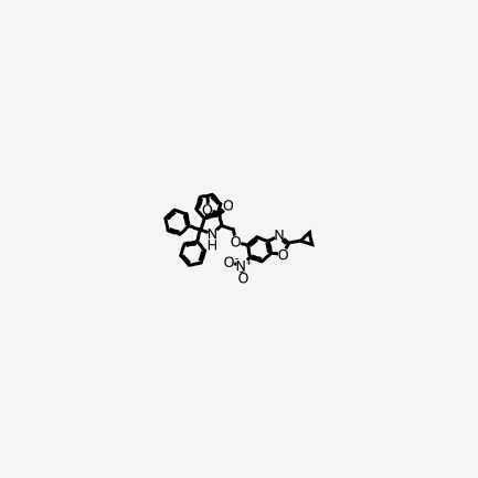 COC(=O)C(COc1cc2nc(C3CC3)oc2cc1[N+](=O)[O-])NC(c1ccccc1)(c1ccccc1)c1ccccc1